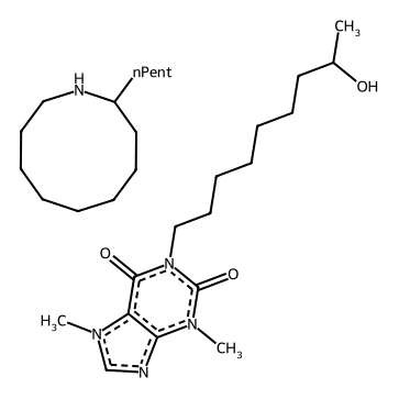 CC(O)CCCCCCCn1c(=O)c2c(ncn2C)n(C)c1=O.CCCCCC1CCCCCCCCN1